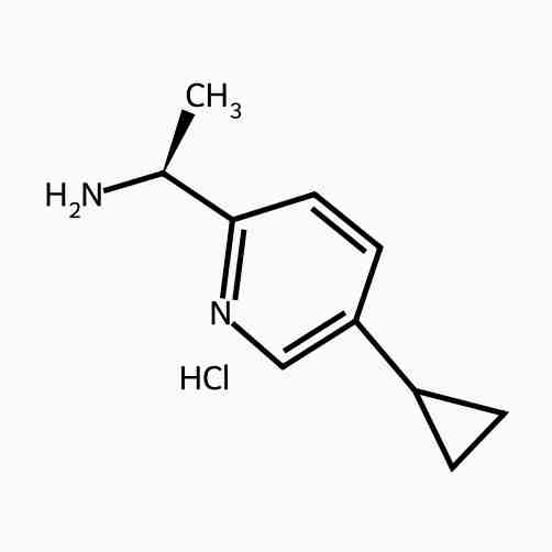 C[C@H](N)c1ccc(C2CC2)cn1.Cl